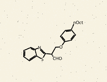 CCCCCCCCc1ccc(OCC(C=O)c2nc3ccccc3s2)cc1